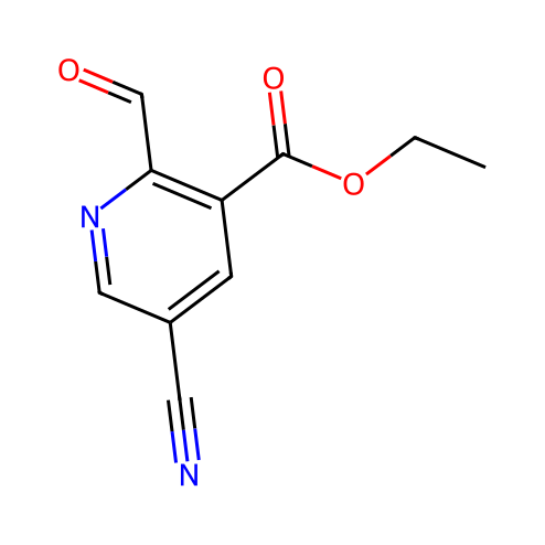 CCOC(=O)c1cc(C#N)cnc1C=O